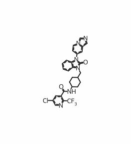 O=C(NC1CCC(Cn2c(=O)n(-c3ccn4cncc4c3)c3ccccc32)CC1)c1cc(Cl)cnc1C(F)(F)F